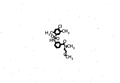 COCCN(C)C(=O)c1cccc(NS(=O)(=O)c2cc(C)c(Cl)cc2C)c1